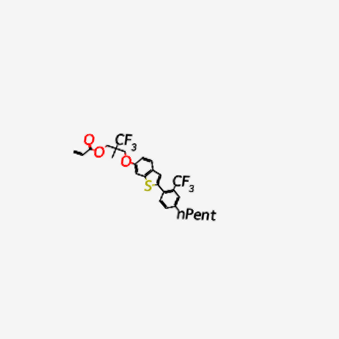 C=CC(=O)OCC(C)(COc1ccc2cc(-c3ccc(CCCCC)cc3C(F)(F)F)sc2c1)C(F)(F)F